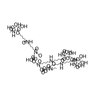 CCCN(CCOP(=O)(O)OCCN(CCOP(=O)(O)OCCN(CCOC)C(=O)CCCCCNC(=O)CCCCCOC1OC(CO)C(O)C(O)C1NC(C)=O)C(=O)CCCCCNC(=O)CCCCCOC1OC(CO)C(O)C(O)C1NC(C)=O)C(=O)CCCCCNC(=O)CCCCCOC1OC(CO)C(O)C(O)C1NC(C)=O